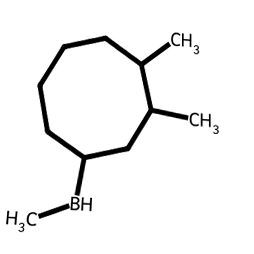 CBC1CCCCC(C)C(C)C1